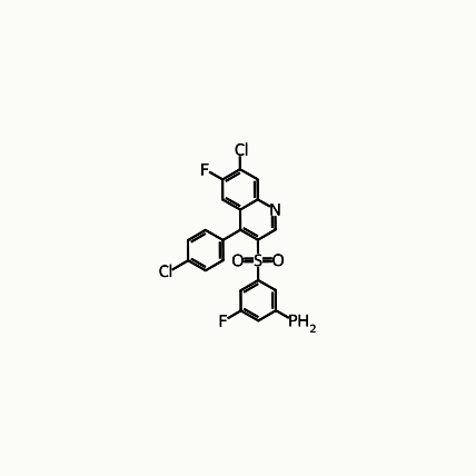 O=S(=O)(c1cc(F)cc(P)c1)c1cnc2cc(Cl)c(F)cc2c1-c1ccc(Cl)cc1